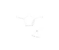 CC1(c2cc(F)oc2Br)CC1